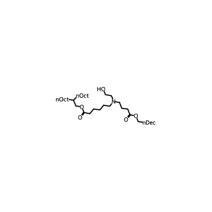 CCCCCCCCCCCOC(=O)CCCN(CCO)CCCCCC(=O)OCC(CCCCCCCC)CCCCCCCC